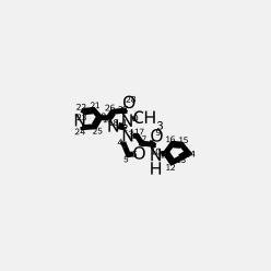 Cn1c(N2CCOC(C(=O)Nc3ccccc3)C2)nc(-c2ccncc2)cc1=O